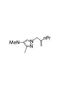 C=C(CCC)Cn1cc(NC)c(C)n1